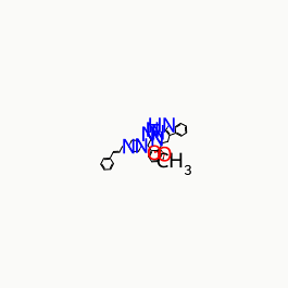 COC(=O)C(Cc1c[nH]c2ccccc12)n1nnnc1C(c1ccccc1)N1CCN(CC=Cc2ccccc2)CC1